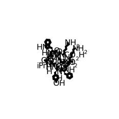 CC(C)C(NC(=O)[C@H](Cc1ccc(O)cc1)NC(=O)[C@H](Cc1ccccc1)NC(=O)CNC(=O)C(N)CCCCN)C(=O)N[C@H](C(=O)NCC(=O)N[C@@H](Cc1c[nH]c2ccccc12)C(=O)N[C@@H](CCCCN)C(=O)N[C@@H](CCCCN)C(=O)O)C(C)C